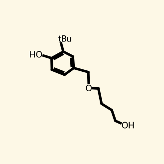 CC(C)(C)c1cc(COCCCCO)ccc1O